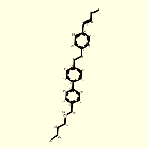 CC/C=C/c1ccc(CCc2ccc(-c3ccc(COCCCC)cc3)cc2)cc1